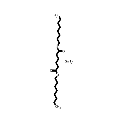 CCCCCCCCOC(=O)CCCCC(=O)OCCCCCCCC.[SnH2]